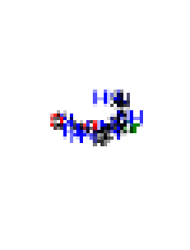 O=C(NCCCN1CCOCC1)Nc1cccc(Nc2ncc(Br)c(NCCc3c[nH]cn3)n2)c1